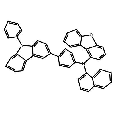 c1ccc(-n2c3ccccc3c3cc(-c4ccc(N(c5cccc6ccccc56)c5cccc6oc7ccccc7c56)cc4)ccc32)cc1